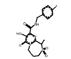 CC1c2nc(C(=O)NCc3ccc(F)cc3)c(O)c(=O)n2CCCS1(=O)=O